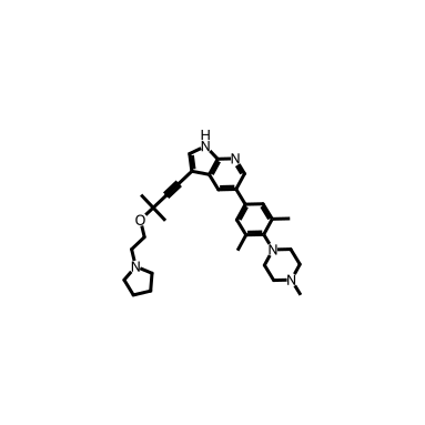 Cc1cc(-c2cnc3[nH]cc(C#CC(C)(C)OCCN4CCCC4)c3c2)cc(C)c1N1CCN(C)CC1